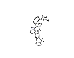 C=C(c1oc2c(B(O)O)cccc2c1/C=C\C)n1c2ccccc2c2cc3c(cc21)C(C)(C)c1ccccc1-3